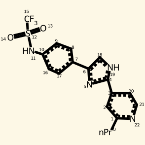 CCCc1cc(-c2nc(-c3ccc(NS(=O)(=O)C(F)(F)F)cc3)c[nH]2)ccn1